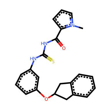 Cn1cccc1C(=O)NC(=S)Nc1cccc(OC2Cc3ccccc3C2)c1